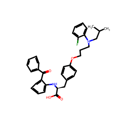 CC(C)CN(CCCOc1ccc(C[C@H](Nc2ccccc2C(=O)c2ccccc2)C(=O)O)cc1)c1ccccc1F